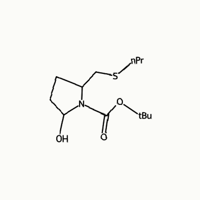 CCCSCC1CCC(O)N1C(=O)OC(C)(C)C